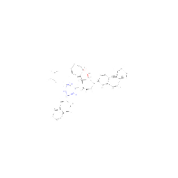 C1=CCC(c2nc(-c3ccc4ccccc4c3)nc(-c3ccc(-c4ccc5c(ccc6ccccc65)c4)c4oc5ccccc5c34)n2)C=C1